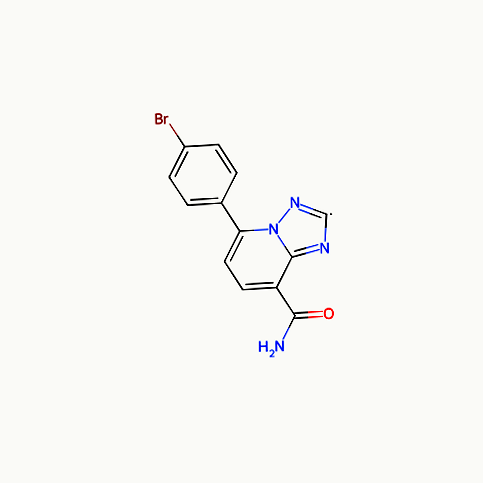 NC(=O)c1ccc(-c2ccc(Br)cc2)n2n[c]nc12